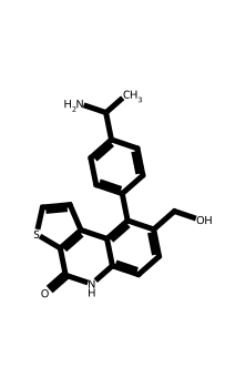 CC(N)c1ccc(-c2c(CO)ccc3[nH]c(=O)c4sccc4c23)cc1